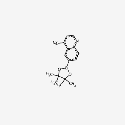 CC1(C)OB(c2ccc3nccc(C#N)c3c2)OC1(C)C